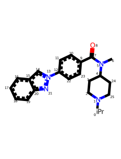 CC(C)N1CCC(N(C)C(=O)c2ccc(-n3cc4ccccc4n3)cc2)CC1